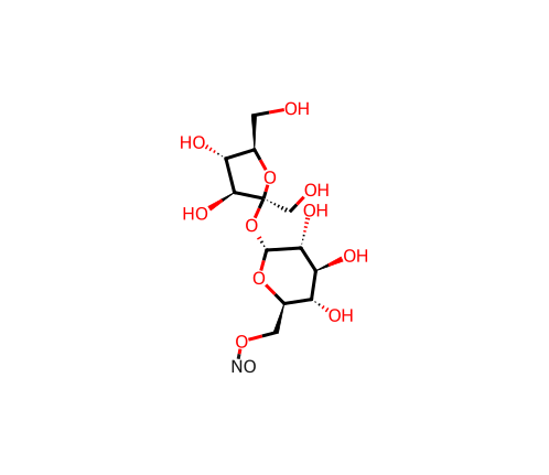 O=NOC[C@H]1O[C@H](O[C@]2(CO)O[C@H](CO)[C@@H](O)[C@@H]2O)[C@H](O)[C@@H](O)[C@@H]1O